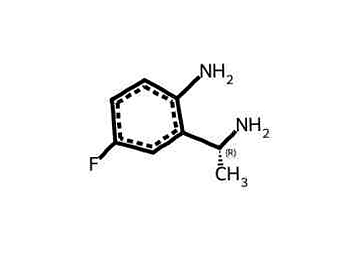 C[C@@H](N)c1cc(F)ccc1N